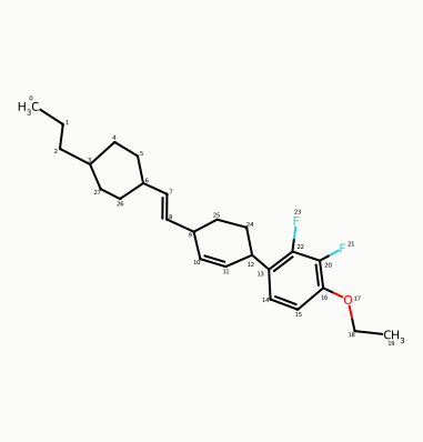 CCCC1CCC(/C=C/C2C=CC(c3ccc(OCC)c(F)c3F)CC2)CC1